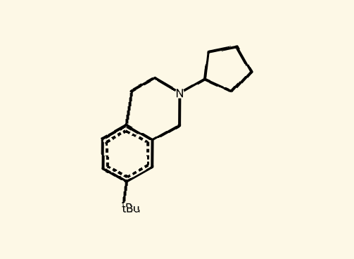 CC(C)(C)c1ccc2c(c1)CN(C1CCCC1)CC2